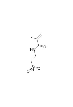 C=C(C)C(=O)NCC[SH](=O)=O